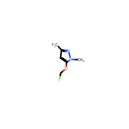 Cn1nc(C(F)(F)F)cc1OCF